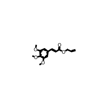 C=C[CH]OC(=O)C=Cc1cc(OC)c(OC)c(OC)c1